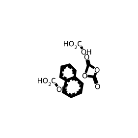 O=C(O)O.O=C(O)O.O=C1OC(=O)O1.c1ccc2ccccc2c1